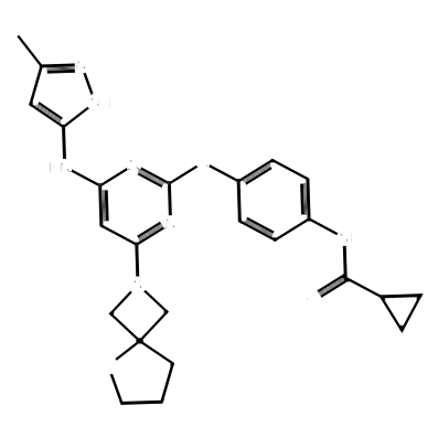 Cc1cc(Nc2cc(N3CC4(CCCO4)C3)nc(Sc3ccc(NC(=O)C4CC4)cc3)n2)[nH]n1